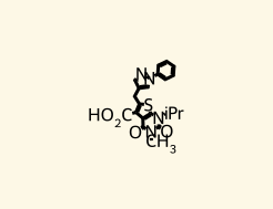 CC(C)n1c(=O)n(C)c(=O)c2c(C(=O)O)c(Cc3cnn(-c4ccccc4)c3)sc21